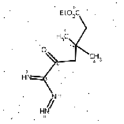 CCOC(=O)CC(C)(C)CC(=O)C(=N)N=N